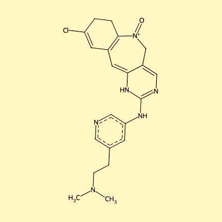 CN(C)CCc1cncc(NC2=NC=C3C[N+](=O)C4=C(C=C(Cl)CC4)C=C3N2)c1